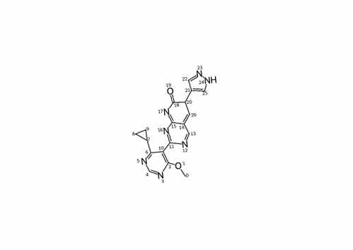 COc1ncnc(C2CC2)c1-c1ncc2c(n1)=NC(=O)C(c1cn[nH]c1)C=2